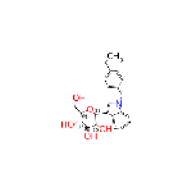 CCc1ccc(Cn2cc([C@@H]3O[C@H](CO)[C@@H](O)[C@H](O)[C@H]3O)c3ccccc32)cc1